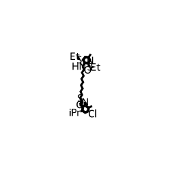 CCSc1cc(C)nc(SCC)c1NC(=O)CCCCCCCCSc1nc2c(C)c(Cl)cc(C(C)C)c2o1